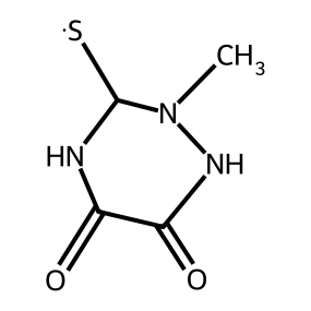 CN1NC(=O)C(=O)NC1[S]